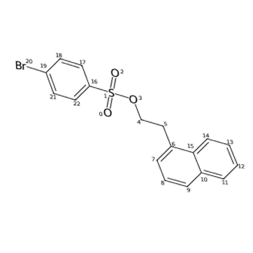 O=S(=O)(OCCc1cccc2ccccc12)c1ccc(Br)cc1